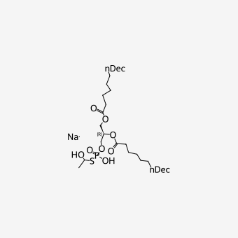 CCCCCCCCCCCCCCCC(=O)OC[C@H](COP(=O)(O)SC(C)O)OC(=O)CCCCCCCCCCCCCCC.[Na]